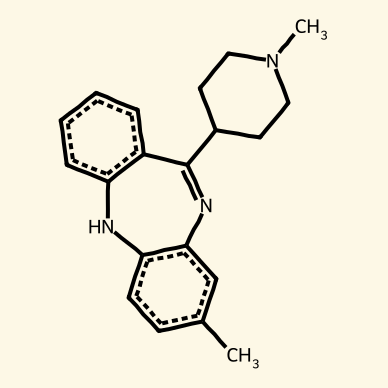 Cc1ccc2c(c1)N=C(C1CCN(C)CC1)c1ccccc1N2